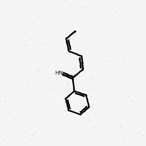 C/C=C\C=C/C(=N)c1ccccc1